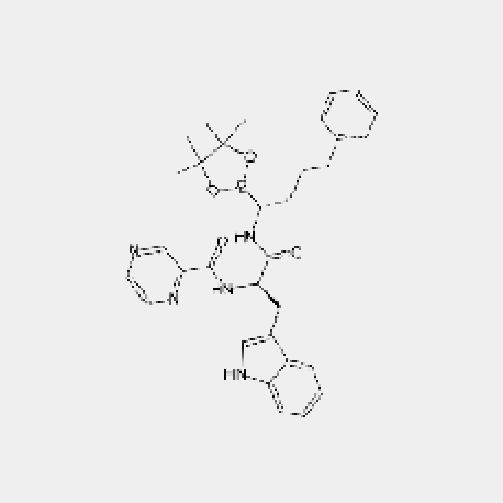 CC1(C)OB([C@H](CCCc2ccccc2)NC(=O)[C@@H](Cc2c[nH]c3ccccc23)NC(=O)c2cnccn2)OC1(C)C